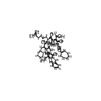 CCN(CC)CCCC[C@H](NC(=O)C(CC1CCCCC1)NC(=O)[C@H](C)NC(=O)C(Cc1ccccc1)NC(=O)CC(C)C)C(=O)NC(C(=O)NOOC1CCCCCC1)[C@@H](C)O